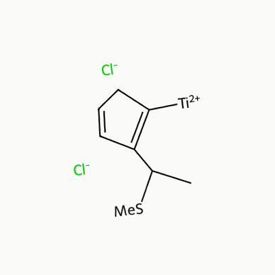 CSC(C)C1=[C]([Ti+2])CC=C1.[Cl-].[Cl-]